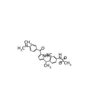 CC(c1ccc(C(=O)c2ccc(N(C)C)cc2)[nH]1)c1ccc(NS(C)(=O)=O)cc1C#N